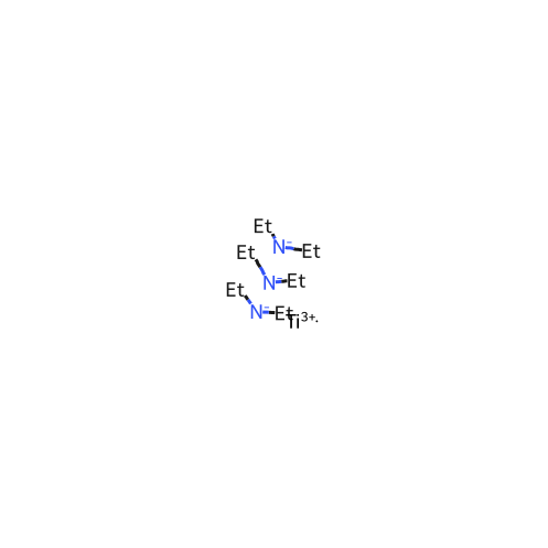 CC[N-]CC.CC[N-]CC.CC[N-]CC.[Ti+3]